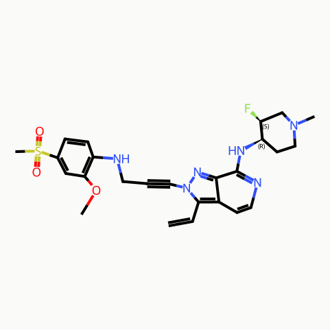 C=Cc1c2ccnc(N[C@@H]3CCN(C)C[C@@H]3F)c2nn1C#CCNc1ccc(S(C)(=O)=O)cc1OC